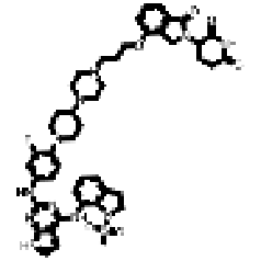 CS(=O)(=O)N1CCc2cccc(Nc3nc(Nc4ccc(N5CCC(N6CCN(CCCOc7cccc8c7CN(C7CCC(=O)NC7=O)C8=O)CC6)CC5)c(F)c4)nc4[nH]ccc34)c21